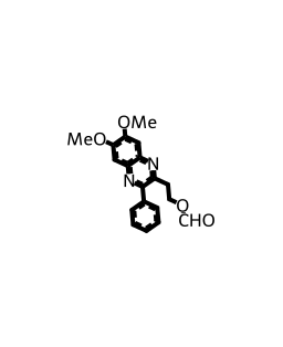 COc1cc2nc(CCOC=O)c(-c3ccccc3)nc2cc1OC